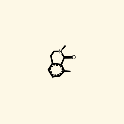 Cc1c[c]cc2c1C(=O)N(C)CC2